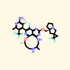 Cc1nc(N)c(F)c(-c2nc3c4c(nc(OC[C@@]56CCCN5CC5(CC5(F)F)C6)nc4c2F)NCC(C)NCC[C@H](C)O3)c1C(F)(F)F